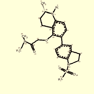 CC(=O)N1c2ccc(-c3ccc4c(c3)CCN4S(C)(=O)=O)c(OCC(=O)N(C)C)c2CC[C@@H]1C